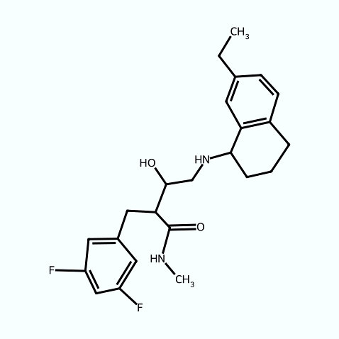 CCc1ccc2c(c1)C(NCC(O)C(Cc1cc(F)cc(F)c1)C(=O)NC)CCC2